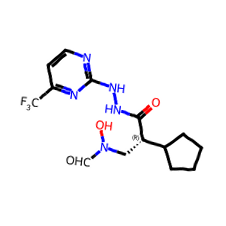 O=CN(O)C[C@H](C(=O)NNc1nccc(C(F)(F)F)n1)C1CCCC1